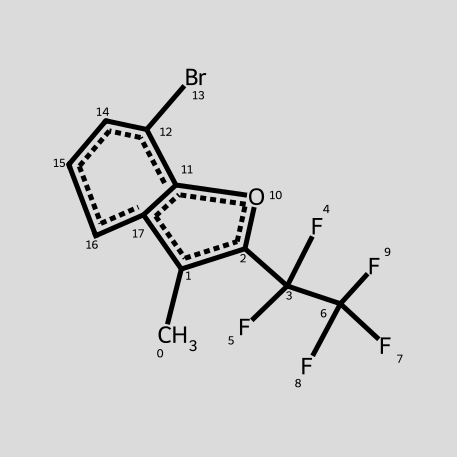 Cc1c(C(F)(F)C(F)(F)F)oc2c(Br)cccc12